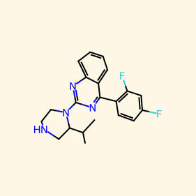 CC(C)C1CNCCN1c1nc(-c2ccc(F)cc2F)c2ccccc2n1